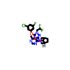 Cc1cc(N2CC3CC[C@H](C2)C3Nc2nc(Oc3cc(F)cc(Cl)c3)n(CC(F)F)n2)ncn1